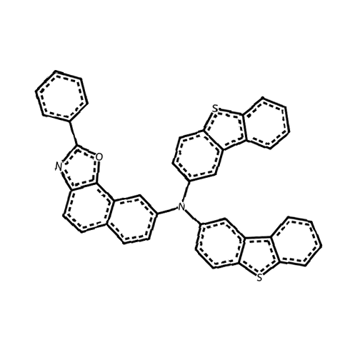 c1ccc(-c2nc3ccc4ccc(N(c5ccc6sc7ccccc7c6c5)c5ccc6sc7ccccc7c6c5)cc4c3o2)cc1